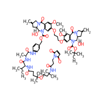 C=C1C[C@H]2[C@H](O)N(C(=O)OCc3ccc(NC(=O)[C@H](C)NC(=O)[C@@H](NC(=O)CCC(C)(C)OCCC(C)(C)NC(=O)CCN4C(=O)C=CC4=O)C(C)C)cc3)c3cc(OCCCOc4cc5c(cc4OC)C(=O)N4CC(=C)C[C@H]4[C@H](O)N5C(=O)OC(C)(C)C)c(OC)cc3C(=O)N2C1